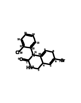 O=C1NCC2C=C(Br)CC=C2N1c1ccccc1Cl